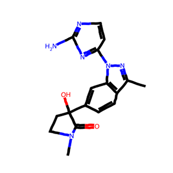 Cc1nn(-c2ccnc(N)n2)c2cc(C3(O)CCN(C)C3=O)ccc12